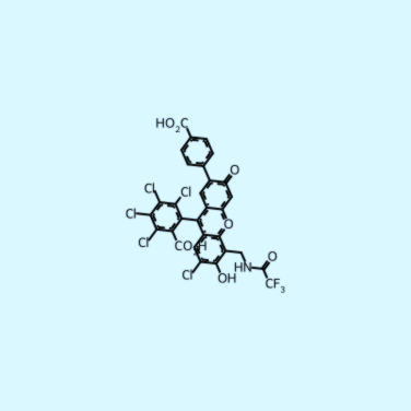 O=C(O)c1ccc(-c2cc3c(-c4c(Cl)c(Cl)c(Cl)c(Cl)c4C(=O)O)c4cc(Cl)c(O)c(CNC(=O)C(F)(F)F)c4oc-3cc2=O)cc1